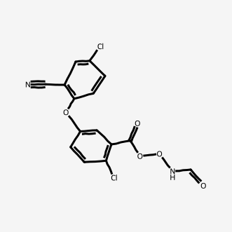 N#Cc1cc(Cl)ccc1Oc1ccc(Cl)c(C(=O)OONC=O)c1